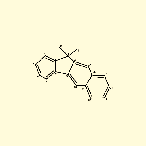 CC1(C)c2cc[c]cc2-c2cc3ccccc3cc21